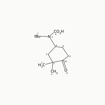 CC1(C)CC(N(C(=O)O)C(C)(C)C)CCC1=O